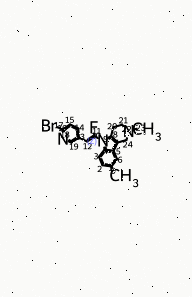 Cc1ccc2c(c1)c1c(n2/C(F)=C/c2ccc(Br)nc2)CCN(C)C1